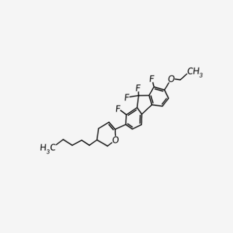 CCCCCC1CC=C(c2ccc3c(c2F)C(F)(F)c2c-3ccc(OCC)c2F)OC1